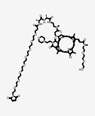 CCC1=C(C)c2cc3[nH]c(cc4nc(c5c6[nH]c(cc1n2)c(C)c6C(=O)N(CCN1CCOCC1)C5=O)[C@@H](CCC(=O)N(C)CCNC(=O)[C@H](C)NC(=O)[C@H](C)NC(=O)CCOCCOCCOCCOCCOCCOCCOCCOCCN1C(=O)C=CC1=O)[C@@H]4C)c(C)c3/C=C/C(=O)N(C)CCOCCOCCO